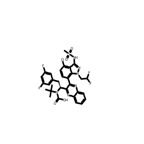 CC(C)(C)N(C(=O)O)[C@@H](Cc1cc(F)cc(F)c1)c1nc2ccccc2nc1-c1ccc(Cl)c2c(NS(C)(=O)=O)nn(CC(F)F)c12